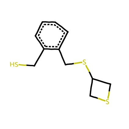 SCc1ccccc1CSC1CSC1